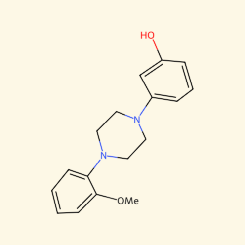 COc1ccccc1N1CCN(c2cccc(O)c2)CC1